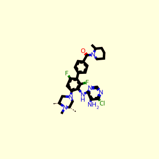 CC1CCCCN1C(=O)c1ccc(-c2c(F)cc(N3C[C@@H](C)N(C)[C@@H](C)C3)c(Nc3ncnc(Cl)c3N)c2F)cc1